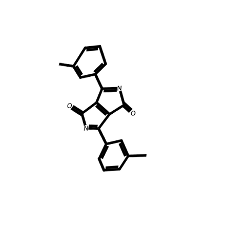 Cc1cccc(-c2nc(=O)c3c(-c4cccc(C)c4)nc(=O)c2=3)c1